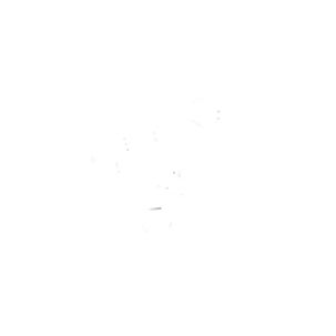 O=C(O)C(=O)CC(=O)C1(Cc2ccc(Cl)cc2)CCCN(S(=O)(=O)c2ccccc2)C1